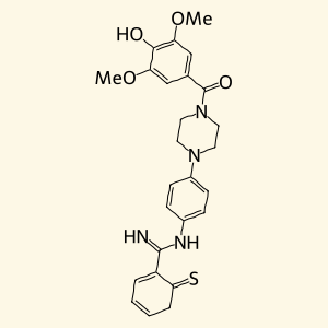 COc1cc(C(=O)N2CCN(c3ccc(NC(=N)C4=CC=CCC4=S)cc3)CC2)cc(OC)c1O